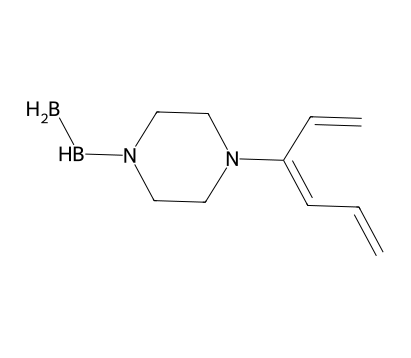 BBN1CCN(/C(C=C)=C/C=C)CC1